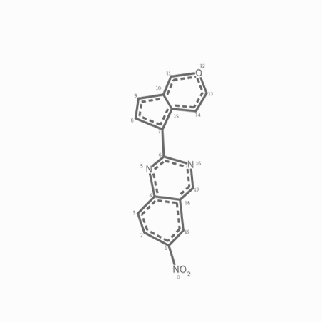 O=[N+]([O-])c1ccc2nc(-c3ccc4coccc3-4)ncc2c1